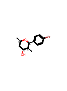 C[C@H]1[C@@H](O)C[C@@H](C)O[C@H]1c1ccc(Br)cc1